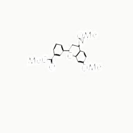 CO/N=C1\CC(c2cccc(C(=O)OC)c2)Oc2cc(OC)ccc21